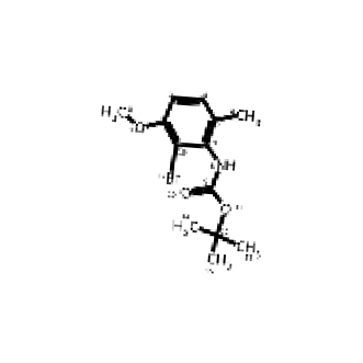 COc1ccc(C)c(NC(=O)OC(C)(C)C)c1Br